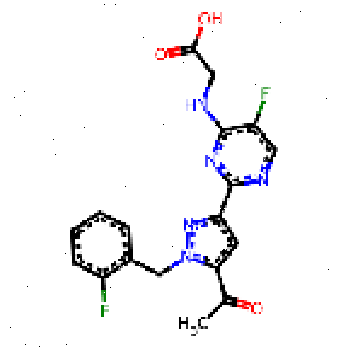 CC(=O)c1cc(-c2ncc(F)c(NCC(=O)O)n2)nn1Cc1ccccc1F